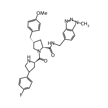 COc1ccc(C[C@@H]2C[C@@H](C(=O)NCc3ccc4c(c3)nnn4C)N(C(=O)[C@H]3CC(c4ccc(F)cc4)CN3)C2)cc1